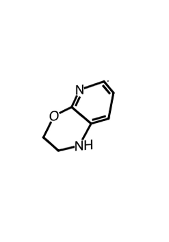 [c]1ccc2c(n1)OCCN2